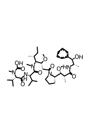 CC[C@@H](C)[C@@H]([C@@H](CC(=O)N1CCC[C@H]1[C@H](OC)[C@@H](C)C(=O)N[C@@H](C)[C@H](O)c1ccccc1)OC)N(C)C(=O)[C@@H](NC(=O)[C@H](C(C)C)N(C)C(=O)O)C(C)C